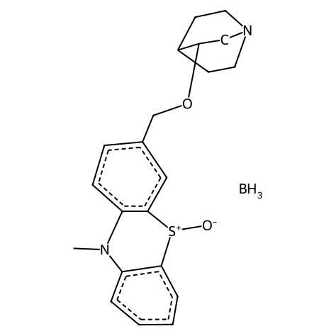 B.CN1c2ccccc2[S+]([O-])c2cc(COC3CN4CCC3CC4)ccc21